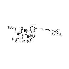 C=C1C(O)=C(C2=NP(=O)(OCC)c3cc(CCCCCS(C)(=O)=O)ccc3N2)C(=O)N1CCC(C)(C)C